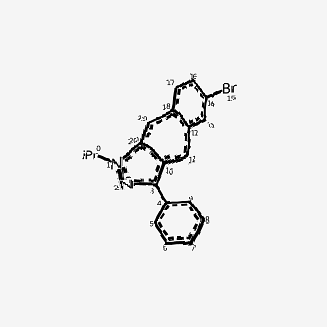 CC(C)n1nc(-c2ccccc2)c2cc3cc(Br)ccc3cc21